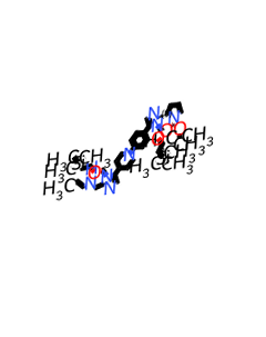 CCCNCc1ncc(C2CCN(c3ccc(-c4cnc([C@@H]5CCCN5C(=O)OC(C)(C)C)n4COCC[Si](C)(C)C)cc3)CC2)n1COCC[Si](C)(C)C